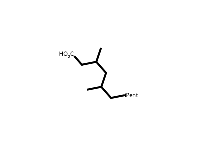 CCCC(C)CC(C)CC(C)CC(=O)O